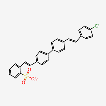 O=S(=O)(O)c1ccccc1C=Cc1ccc(-c2ccc(C=Cc3ccc(Cl)cc3)cc2)cc1